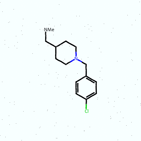 CNCC1CCN(Cc2ccc(Cl)cc2)CC1